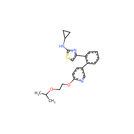 CC(C)OCCOc1ccc(-c2ccccc2-c2csc(NC3CC3)n2)cn1